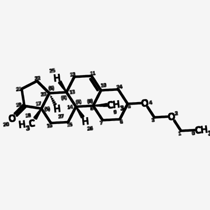 CCOCOC1CC[C@@]2(C)C(=CC[C@@H]3[C@H]2CC[C@]2(C)C(=O)CC[C@@H]32)C1